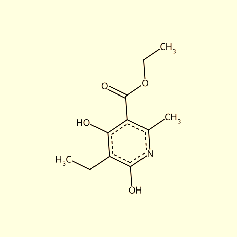 CCOC(=O)c1c(C)nc(O)c(CC)c1O